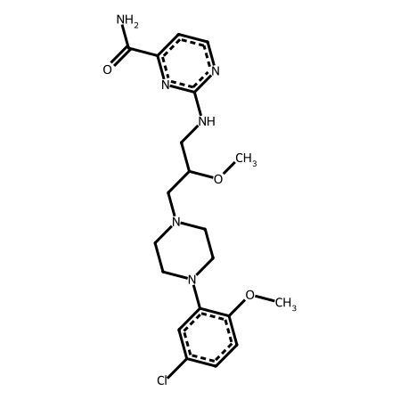 COc1ccc(Cl)cc1N1CCN(CC(CNc2nccc(C(N)=O)n2)OC)CC1